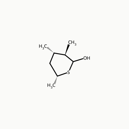 C[C@@H]1C[C@H](C)[C@@H](C)C(O)S1